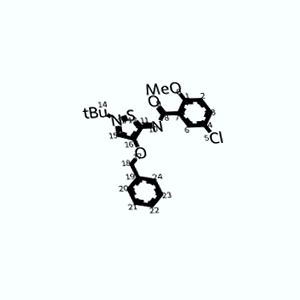 COc1ccc(Cl)cc1C(=O)/N=c1\sn(C(C)(C)C)cc1OCc1ccccc1